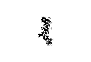 CC(C)=CCn1c(N2CCCC(NC(=O)OC(C)(C)C)C2)nc2[nH]c(=O)n(Cc3cn(C)c(=O)c4ccccc34)c(=O)c21